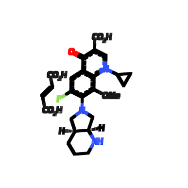 COc1c(N2C[C@@H]3CCCN[C@@H]3C2)c(F)cc2c(=O)c(C(=O)O)cn(C3CC3)c12.O=C(O)C=CC(=O)O